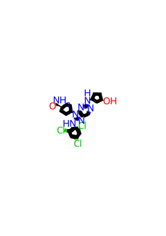 NC(=O)[C@H]1CC[C@@H](n2c(Nc3c(Cl)cc(Cl)cc3Cl)nc3cnc(N[C@H]4CC[C@H](O)C4)nc32)CC1